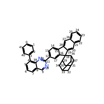 c1ccc(-c2cccc3cnc(-c4ccc5c(c4)C4(c6cc7ccccc7cc6-5)C5CC6CC(C5)CC4C6)nc23)cc1